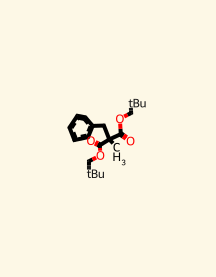 CC(C)(C)COC(=O)C(C)(Cc1ccccc1)C(=O)OCC(C)(C)C